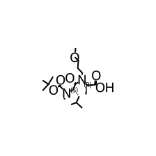 COCCCN(C(=O)[C@H](CC(C)C)N(C)C(=O)OC(C)(C)C)[C@H](C)C(=O)O